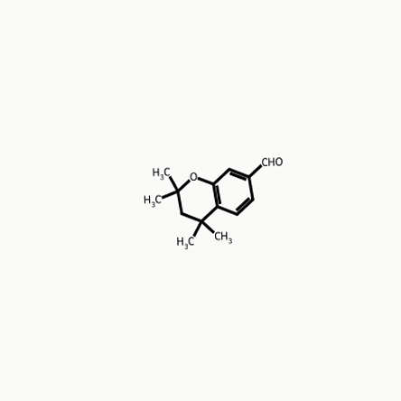 CC1(C)CC(C)(C)c2ccc(C=O)cc2O1